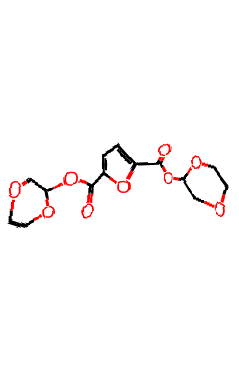 O=C(OC1COCCO1)c1ccc(C(=O)OC2COCCO2)o1